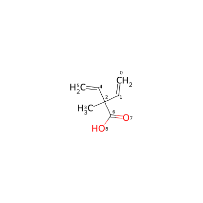 C=CC(C)(C=C)C(=O)O